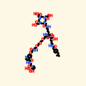 CC(C)Cc1ccc(CC(=O)NCCCC[C@H](NC(=O)[C@H](CCCCNC(=O)CN2CCN(CC(=O)O)CCN(CC(=O)O)CCN(CC(=O)O)CC2)NC(=O)CCOCCOCCOCCNC(=O)COc2ccc3c(C(=O)NCC(=O)N4CCC[C@H]4B(O)O)ccnc3c2)C(=O)O)cc1